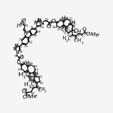 COC(=O)CC[C@@H](C)C(C)C1(C)CCC2[C@@H](CC[C@@H]3C[C@H](OC(=O)Cn4cc(-c5ccc6c7ccc(-c8cn(CC(=O)O[C@@H]9CCC%10(C)C%11CCC%12(C)C([C@H](C)CCC(=O)OC)CC[C@H]%12[C@@H]%11CCC[C@@H]%10C9)nn8)cc7n(CCNCl)c6c5)nn4)CCC23C)C1